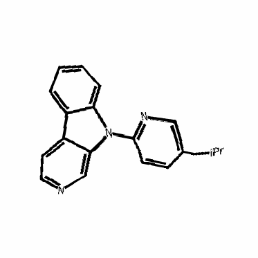 CC(C)c1ccc(-n2c3ccccc3c3ccncc32)nc1